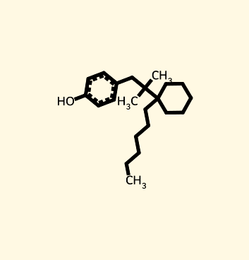 CCCCCCC1(C(C)(C)Cc2ccc(O)cc2)CCCCC1